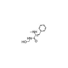 CN[C@@H](Cc1ccccc1)C(=O)NCO